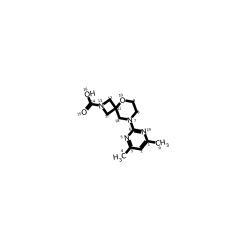 Cc1cc(C)nc(N2CCOC3(CN(C(=O)O)C3)C2)n1